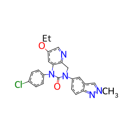 CCOc1cnc2c(c1)N(c1ccc(Cl)cc1)C(=O)N(c1ccc3nn(C)cc3c1)C2